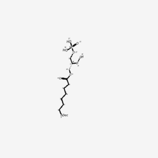 CCCCCCCCCCCCCCCCC(=O)OC[C@H](COP(=O)(O)O)OO